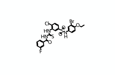 CCOc1ccc(NS(=O)(=O)c2ccc(Cl)c(NC(=S)NC(=O)c3cccc(F)c3)c2)cc1Br